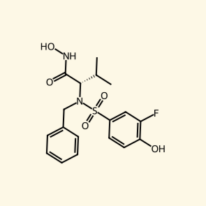 CC(C)[C@@H](C(=O)NO)N(Cc1ccccc1)S(=O)(=O)c1ccc(O)c(F)c1